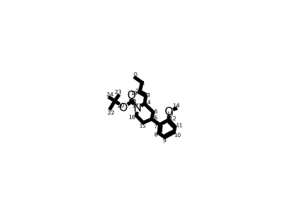 CC/C=C/C1CC(c2ccccc2OC)CCN1C(=O)OC(C)(C)C